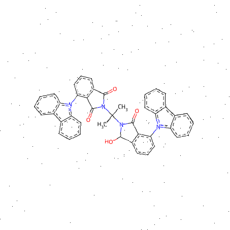 CC(C)(N1C(=O)c2cccc(-n3c4ccccc4c4ccccc43)c2C1=O)N1C(=O)c2c(cccc2-n2c3ccccc3c3ccccc32)C1O